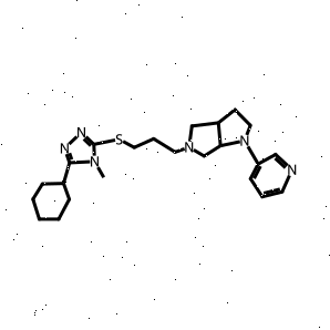 Cn1c(SCCCN2CC3CCN(c4cccnc4)C3C2)nnc1C1CCCCC1